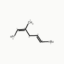 CCCC=C(C)CC=CCCCC